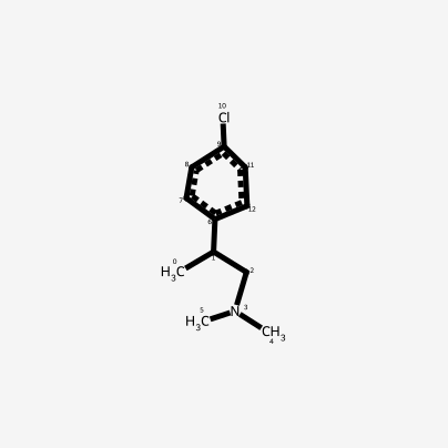 CC(CN(C)C)c1ccc(Cl)cc1